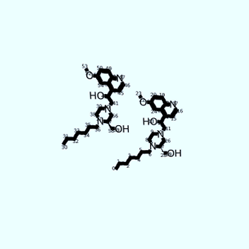 CCCCCCCN1CCN(CC(O)c2ccnc3ccc(OC)cc23)C[C@@H]1CO.CCCCCCCN1CCN(CC(O)c2ccnc3ccc(OC)cc23)C[C@H]1CO